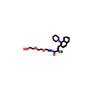 N#C/C(=C\c1ccc2ccccc2c1N1CCCCC1)C(=O)NCCOCCOCCO